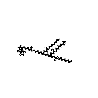 CCCCCCCCOC(=O)CCN(CCCCCCOC(=O)CCCCC1SCC2NC(O)NC21)CCCN(CCC(=O)OCCCCCCCC)CCC(=O)OCCCCCCCC